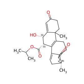 CC(C)OC(=O)[C@H]1C2=C(CCC34C(=O)CC[C@]3(C)CC=C24)C2(C)CCC(=O)C=C2[C@H]1O